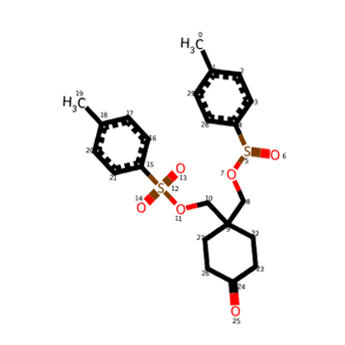 Cc1ccc(S(=O)OCC2(COS(=O)(=O)c3ccc(C)cc3)CCC(=O)CC2)cc1